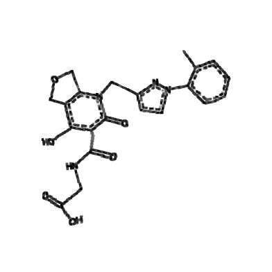 Cc1ccccc1-n1ccc(Cn2c3c(c(O)c(C(=O)NCC(=O)O)c2=O)COC3)n1